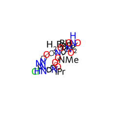 BC(B)(B)Oc1c(N2CC3(CCC(OC4CCN(c5ncc(Cl)c(Nc6ccc7c(c6)cc(OCC(=O)NC)c(=O)n7C(C)C)n5)CC4)CC3)C2)ccc2c1CN(C1CCC(=O)NC1=O)C2=O